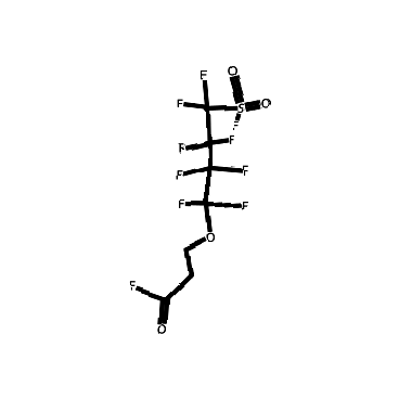 O=C(F)CCOC(F)(F)C(F)(F)C(F)(F)C(F)(F)S(=O)(=O)F